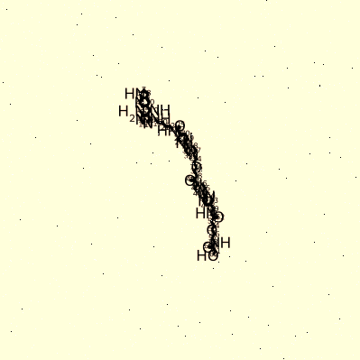 N=C(c1cnc2[nH]ccc2c1)c1c(N)ncnc1NCCCCNC(=O)c1cnc(N2CCN(CCOCCC(=O)N3CCN(c4ncc(CNC(=O)CCOCCNC(=O)CO)cn4)CC3)CC2)nc1